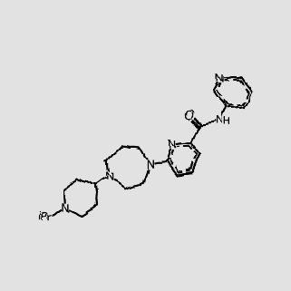 CC(C)N1CCC(N2CCCN(c3cccc(C(=O)Nc4cccnc4)n3)CC2)CC1